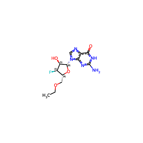 CCOC[C@H]1O[C@@H](n2cnc3c(=O)[nH]c(N)nc32)[C@H](O)[C@@H]1F